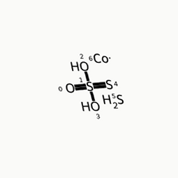 O=S(O)(O)=S.S.[Co]